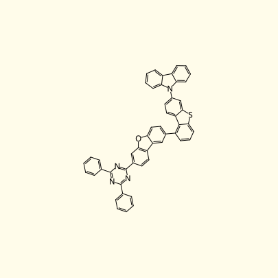 c1ccc(-c2nc(-c3ccccc3)nc(-c3ccc4c(c3)oc3ccc(-c5cccc6sc7cc(-n8c9ccccc9c9ccccc98)ccc7c56)cc34)n2)cc1